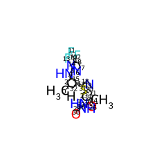 Cc1cc(Nc2nccc(C(F)(F)F)n2)cc(-c2cnc(CC(C)(C)C(=O)NNC=O)s2)c1